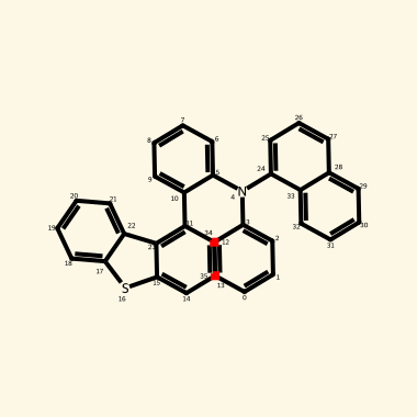 c1ccc(N(c2ccccc2-c2cccc3sc4ccccc4c23)c2cccc3ccccc23)cc1